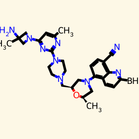 Bc1ccc2c(N3C[C@H](CN4CCN(c5nc(C)cc(N6CC(C)(N)C6)n5)CC4)O[C@H](C)C3)ccc(C#N)c2n1